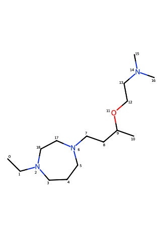 CCN1CCCN(CCC(C)OCCN(C)C)CC1